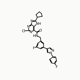 O=C(NCc1cc(F)cc(-c2cnn(-c3ccc(F)cc3)c2)c1)c1nc(Cl)nc2nc(C3CCCC3)[nH]c12